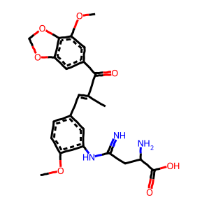 COc1ccc(C=C(C)C(=O)c2cc(OC)c3c(c2)OCO3)cc1NC(=N)CC(N)C(=O)O